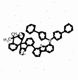 CC1(C)c2ccccc2C2(c3ccccc3-c3c(-c4cccc5c4sc4c(N(c6ccc(-c7ccccc7)cc6)c6ccc(-c7ccccc7)cc6)cccc45)cccc32)c2ccccc21